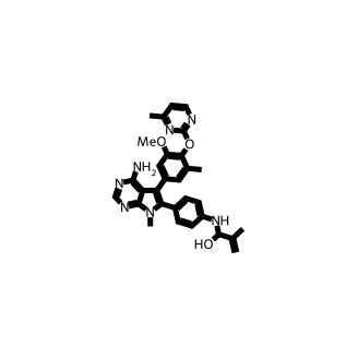 C=C(C)C(O)Nc1ccc(-c2c(-c3cc(C)c(Oc4nccc(C)n4)c(OC)c3)c3c(N)ncnc3n2C)cc1